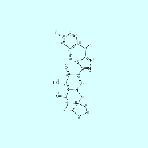 CC(c1nnc(-c2cn3c(c(O)c2=O)C(=O)N(C)C2(CCCC2)C3)s1)c1ccc(F)cc1F